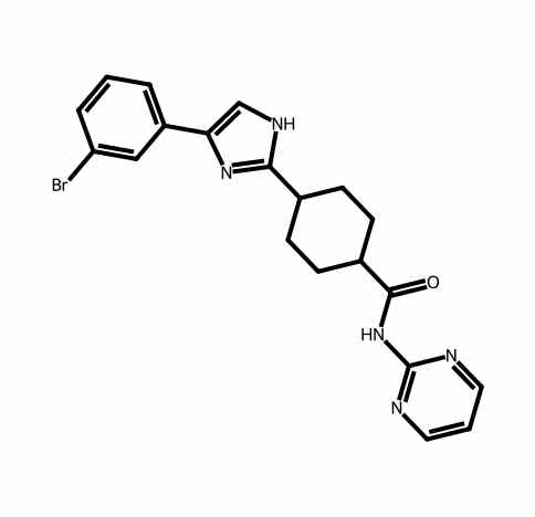 O=C(Nc1ncccn1)C1CCC(c2nc(-c3cccc(Br)c3)c[nH]2)CC1